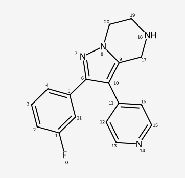 Fc1cccc(-c2nn3c(c2-c2ccncc2)CNCC3)c1